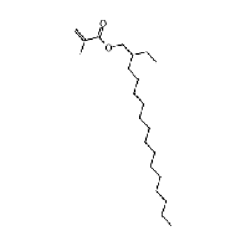 C=C(C)C(=O)OCC(CC)CCCCCCCCCCCCCC